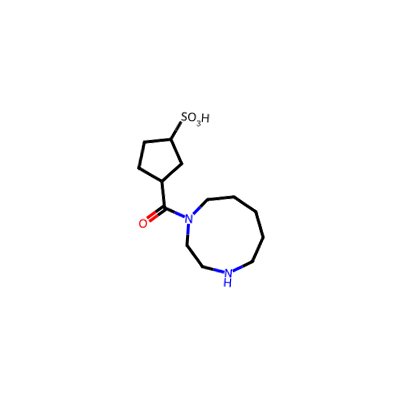 O=C(C1CCC(S(=O)(=O)O)C1)N1CCCCCNCC1